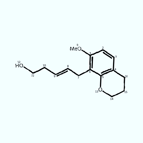 COc1ccc2c(c1CC=CCCO)OCCC2